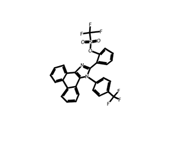 O=S(=O)(Oc1ccccc1-c1nc2c3ccccc3c3ccccc3c2n1-c1ccc(C(F)(F)F)cc1)C(F)(F)F